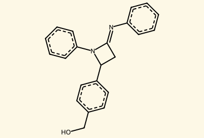 OCc1ccc(C2C/C(=N\c3ccccc3)N2c2ccccc2)cc1